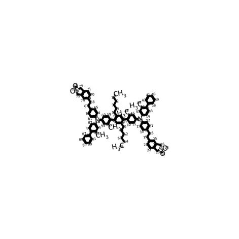 CCCCCCc1cc(-c2ccc(N(c3ccc(CCc4ccc5c(c4)CS(=O)(=O)C5)cc3)c3ccc(-c4ccccc4)c(C)c3)cc2C)c(CCCCCC)cc1-c1ccc(N(c2ccc(CCc3ccc4c(c3)CS(=O)(=O)C4)cc2)c2ccc(-c3ccccc3)c(C)c2)cc1C